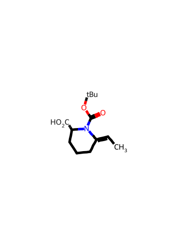 CC=C1CCCC(C(=O)O)N1C(=O)OC(C)(C)C